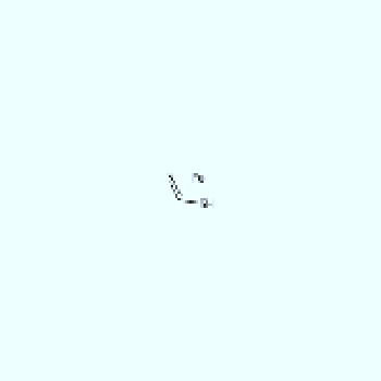 S=CS.[Fe]